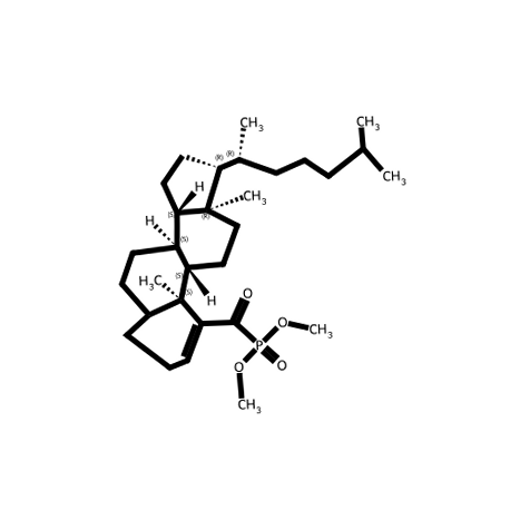 COP(=O)(OC)C(=O)C1=CCCC2CC[C@H]3[C@@H]4CC[C@H]([C@H](C)CCCC(C)C)[C@@]4(C)CC[C@@H]3[C@@]12C